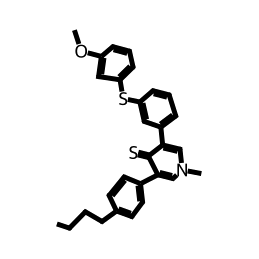 CCCCc1ccc(-c2cn(C)cc(-c3cccc(Sc4cccc(OC)c4)c3)c2=S)cc1